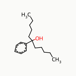 CCCCCC(O)(CCCCC)c1ccccc1